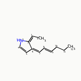 C/C=c1/[nH]cc/c1=C/C=CCCC